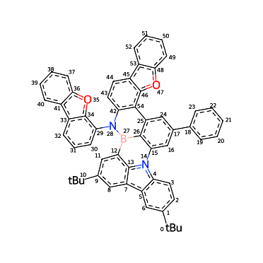 CC(C)(C)c1ccc2c(c1)c1cc(C(C)(C)C)cc3c1n2-c1cc(-c2ccccc2)cc2c1B3N(c1cccc3c1oc1ccccc13)c1ccc3c(oc4ccccc43)c1-2